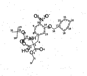 CCOC(=O)C(Cc1ccc([N+](=O)[O-])c(OCc2ccccc2)c1)(NC(=O)OC(C)(C)C)C(=O)O